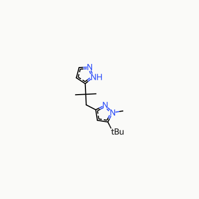 Cn1nc(CC(C)(C)c2ccn[nH]2)cc1C(C)(C)C